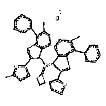 Cc1ccc(C2=Cc3c(ccc(C)c3-c3ccccc3)[CH]2[Zr+2](=[C]2CCC2)[CH]2C(c3ccco3)=Cc3c2ccc(C)c3-c2ccccc2)o1.[Cl-].[Cl-]